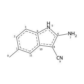 Cc1ccc2[nH]c(N)c(C#N)c2c1